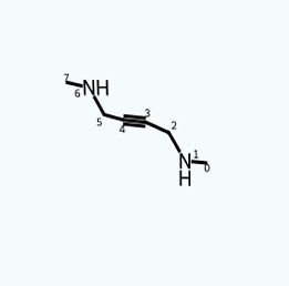 CNCC#CCNC